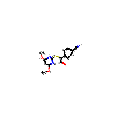 COc1cc(OC)nc(SC(C=O)c2ccc(C#N)cc2)n1